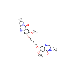 COC1=CC2=C(CC1OCCCCCOc1cc3c(cc1OC)C(=O)N1CC4(CC4)CC1C=N3)N=CC1CC3(CC3)CN1C2=O